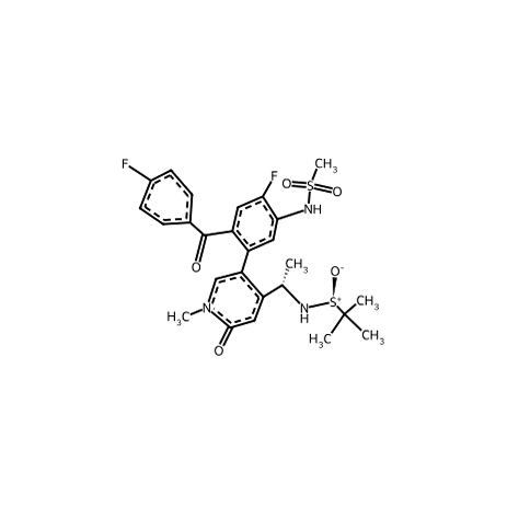 C[C@H](N[S@@+]([O-])C(C)(C)C)c1cc(=O)n(C)cc1-c1cc(NS(C)(=O)=O)c(F)cc1C(=O)c1ccc(F)cc1